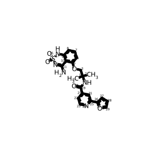 CC(C)(COc1cccc2c1C(N)=NS(=O)(=O)N2)NC(=O)c1ccnc(-c2ccco2)c1